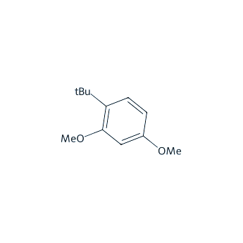 [CH2]C(C)(C)c1ccc(OC)cc1OC